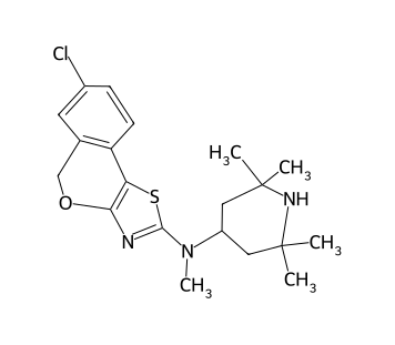 CN(c1nc2c(s1)-c1ccc(Cl)cc1CO2)C1CC(C)(C)NC(C)(C)C1